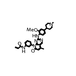 C=CC(=O)Nc1cccc(-n2c(=O)cc(C)c3cnc(Nc4ccc(C5CCN(C)CC5)cc4OC)nc32)c1